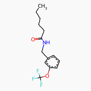 CCCCCC(=O)NCc1cccc(OC(F)(F)F)c1